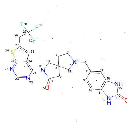 O=C1CC2(CCN(Cc3ccc4[nH]c(=O)[nH]c4c3)C2)CN1c1ncnc2sc(CC(F)(F)F)cc12